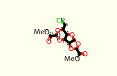 COC(=O)C1OC2OC3C(CCl)OC(C(=O)OC)OC3C2O1